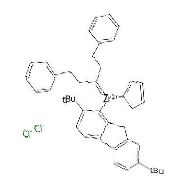 CC(C)(C)c1ccc2c(c1)Cc1c-2ccc(C(C)(C)C)[c]1[Zr+2]([C]1=CC=CC1)=[C](CCc1ccccc1)CCc1ccccc1.[Cl-].[Cl-]